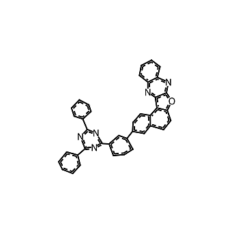 c1ccc(-c2nc(-c3ccccc3)nc(-c3cccc(-c4ccc5c(ccc6oc7nc8ccccc8nc7c65)c4)c3)n2)cc1